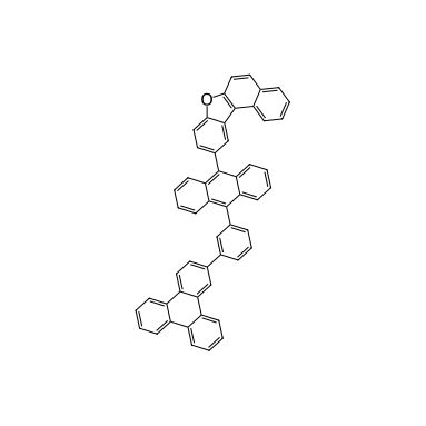 c1cc(-c2ccc3c4ccccc4c4ccccc4c3c2)cc(-c2c3ccccc3c(-c3ccc4oc5ccc6ccccc6c5c4c3)c3ccccc23)c1